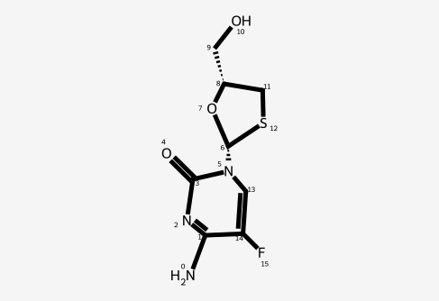 Nc1nc(=O)n([C@@H]2O[C@H](CO)CS2)cc1F